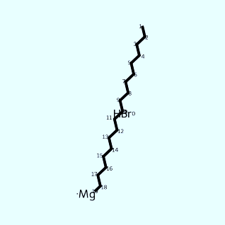 Br.CCCCCCCCCCCCCCCCC[CH2][Mg]